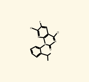 CC(C)c1ccccc1-n1c(=O)nc(Cl)c2cc(F)c(Cl)nc21